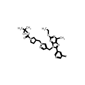 CCOc1nc(C)c2nc(-c3cncc(F)c3)n(Cc3cnn(CC4CCN(C(=O)OC(C)(C)C)C4)c3)c2n1